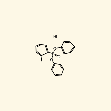 Cc1ccccc1P(=O)(Oc1ccccc1)Oc1ccccc1.I